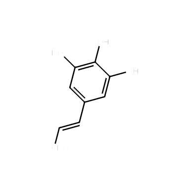 O=[C]C=Cc1cc(O)c(O)c(O)c1